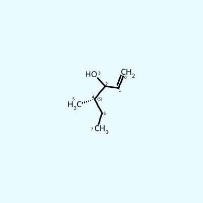 C=CC(O)[C@@H](C)CC